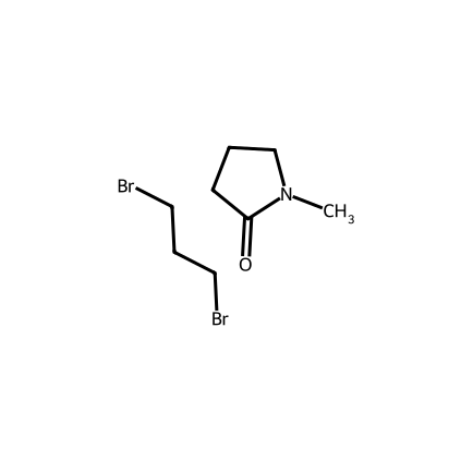 BrCCCBr.CN1CCCC1=O